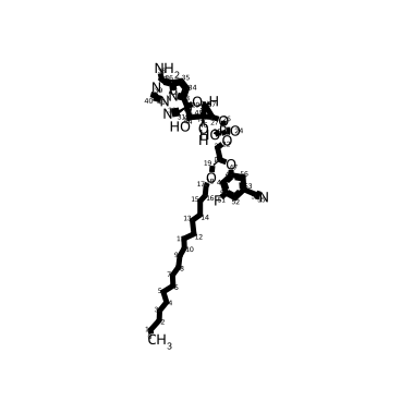 CCCCCCCCCCCCCCCCCCOC[C@H](COP(=O)(O)OC1[C@H]2O[C@@](C#N)(c3ccc4c(N)ncnn34)[C@H](O)[C@@]12O)Oc1cc(F)cc(C#N)c1